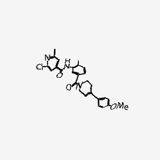 COc1ccc(C2CCN(C(=O)c3ccc(C)c(NC(=O)c4cc(C)nc(Cl)c4)c3)CC2)cc1